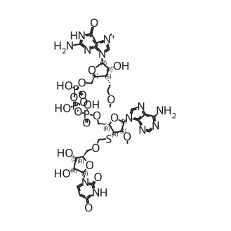 COCC[C@H]1[C@@H](O)[C@H](n2c[n+](C)c3c(=O)[nH]c(N)nc32)O[C@@H]1COP(=O)(O)OP(=O)(O)OP(=O)(O)OC[C@H]1O[C@@H](n2cnc3c(N)ncnc32)[C@H](OC)[C@@H]1SCOC[C@H]1O[C@@H](n2ccc(=O)[nH]c2=O)[C@H](O)[C@@H]1O